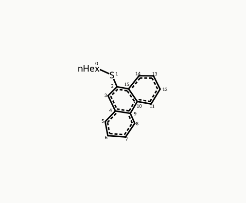 CCCCCCSc1cc2ccccc2c2ccccc12